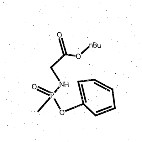 CCCCOC(=O)CNP(C)(=O)Oc1ccccc1